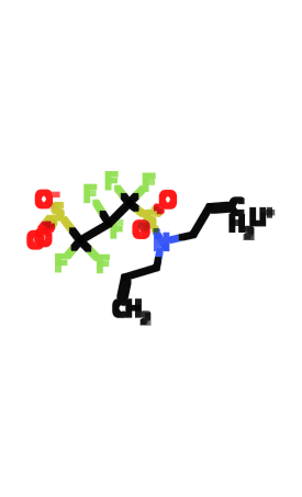 C=CCN(CC=C)S(=O)(=O)C(F)(F)C(F)(F)C(F)(F)S(=O)(=O)[O-].[Li+]